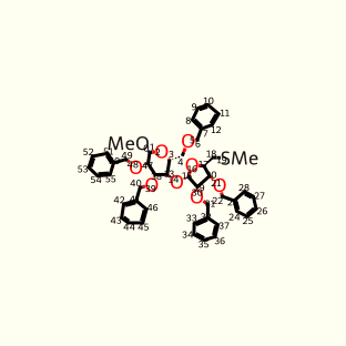 CO[C@H]1O[C@H](COCc2ccccc2)[C@@H](O[C@@H]2O[C@@H](CSC)[C@@H](OCc3ccccc3)[C@@H]2OCc2ccccc2)[C@H](OCc2ccccc2)[C@@H]1OCc1ccccc1